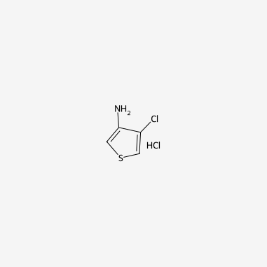 Cl.Nc1cscc1Cl